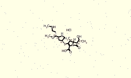 CNCC[C@@H](OC)[C@@H]1C[C@H](SC2=C(C(=O)O)N3C(=O)[C@H]([C@@H](C)O)[C@H]3[C@H]2C)CN1.Cl